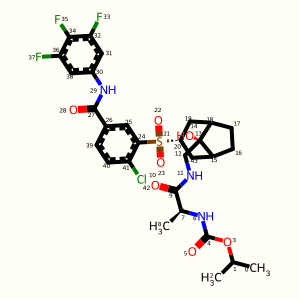 CC(C)OC(=O)N[C@@H](C)C(=O)NC[C@]1(O)C2CCC1C[C@@H](S(=O)(=O)c1cc(C(=O)Nc3cc(F)c(F)c(F)c3)ccc1Cl)C2